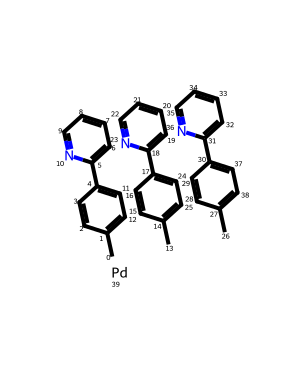 Cc1ccc(-c2ccccn2)cc1.Cc1ccc(-c2ccccn2)cc1.Cc1ccc(-c2ccccn2)cc1.[Pd]